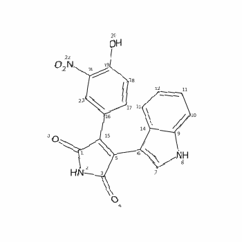 O=C1NC(=O)C(c2c[nH]c3ccccc23)=C1c1ccc(O)c([N+](=O)[O-])c1